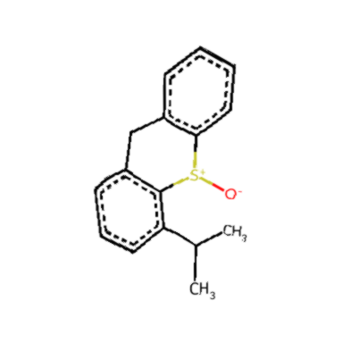 CC(C)c1cccc2c1[S+]([O-])c1ccccc1C2